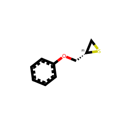 c1ccc(OC[C@@H]2CS2)cc1